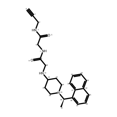 C#CCNC(=O)CNC(=O)CNC1CCN([C@H](C)c2cccc3ccccc23)CC1